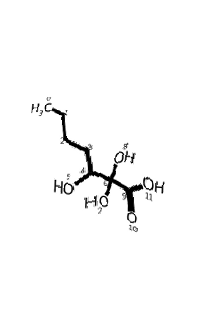 CCCCC(O)C(O)(O)C(=O)O